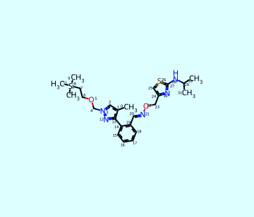 Cc1cn(COCC[Si](C)(C)C)nc1-c1ccccc1C=NOCc1csc(NC(C)C)n1